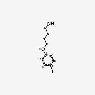 NCCCCOc1ccc(I)cc1